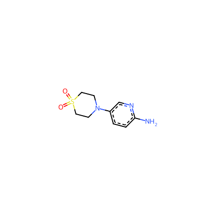 Nc1ccc(N2CCS(=O)(=O)CC2)cn1